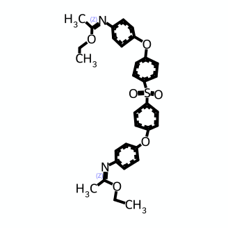 CCO/C(C)=N\c1ccc(Oc2ccc(S(=O)(=O)c3ccc(Oc4ccc(/N=C(/C)OCC)cc4)cc3)cc2)cc1